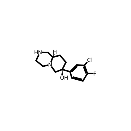 O[C@]1(c2ccc(F)c(Cl)c2)CC[C@@H]2CNCCN2C1